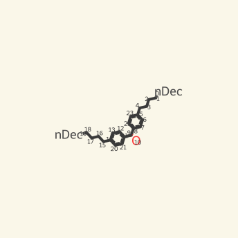 CCCCCCCCCCCCCCc1ccc(C(=O)c2ccc(CCCCCCCCCCCCCC)cc2)cc1